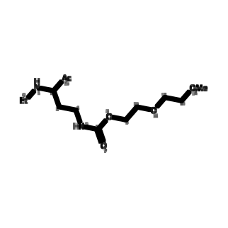 CCNC(CCNC(=O)OCCOCCOC)C(C)=O